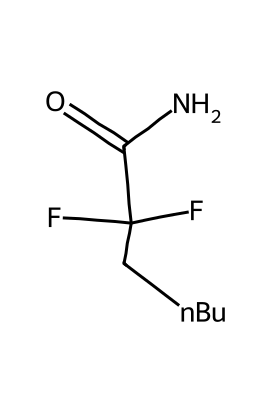 CCCCCC(F)(F)C(N)=O